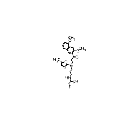 COc1cc2c(OC)cccc2cc1C(=O)CC[C@@H](CCCNC(=N)CF)c1ncc(C)o1